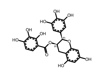 O=C(O[C@@H]1Cc2c(O)cc(O)cc2O[C@@H]1c1cc(O)c(O)c(O)c1)c1ccc(O)c(O)c1O